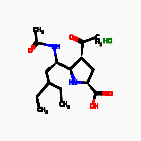 CCC(CC)C[C@H](NC(C)=O)[C@@H]1N[C@@H](C(=O)O)C[C@H]1C(C)=O.Cl